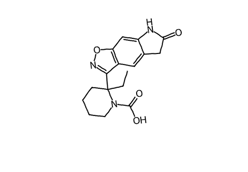 CCC1(c2noc3cc4c(cc23)CC(=O)N4)CCCCN1C(=O)O